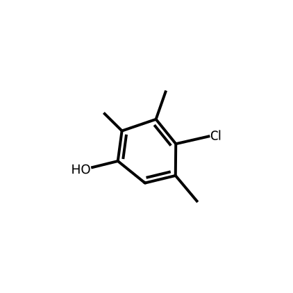 Cc1cc(O)c(C)c(C)c1Cl